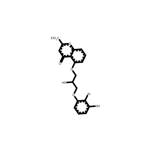 CCOC(=O)c1cc(=O)c2c(OCC(O)COc3cccc(O)c3C(C)=O)cccc2o1